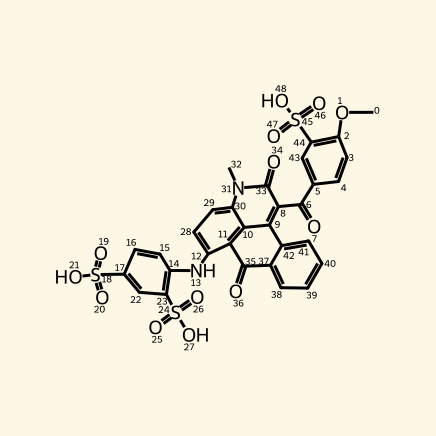 COc1ccc(C(=O)c2c3c4c(c(Nc5ccc(S(=O)(=O)O)cc5S(=O)(=O)O)ccc4n(C)c2=O)C(=O)c2ccccc2-3)cc1S(=O)(=O)O